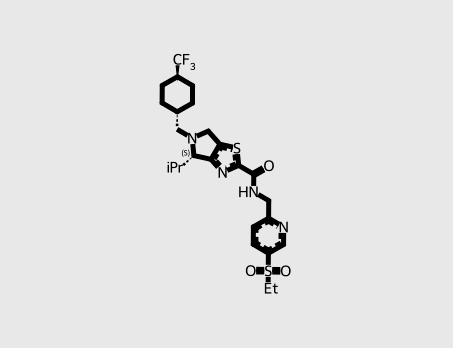 CCS(=O)(=O)c1ccc(CNC(=O)c2nc3c(s2)CN(C[C@H]2CC[C@H](C(F)(F)F)CC2)[C@H]3C(C)C)nc1